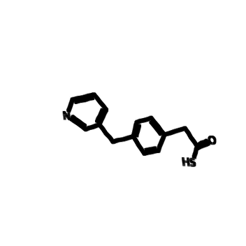 O=C(S)Cc1ccc(Cc2cccnc2)cc1